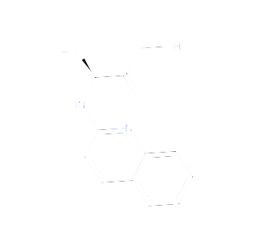 COC(=O)[C@H](C)Nc1ccc2ccccc2n1